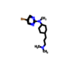 CN(C)CCCC1CCC(N(C)c2ncc(Br)cn2)CC1